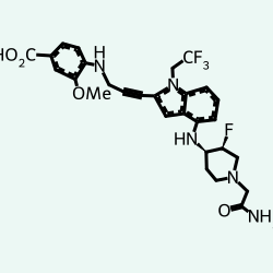 COc1cc(C(=O)O)ccc1NCC#Cc1cc2c(N[C@@H]3CCN(CC(N)=O)C[C@@H]3F)cccc2n1CC(F)(F)F